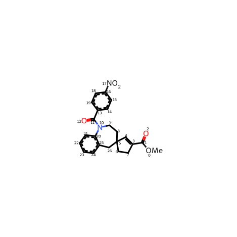 COC(=O)C1=CC2(CC1)CCN(C(=O)c1ccc([N+](=O)[O-])cc1)c1ccccc1C2